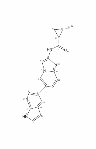 O=C(Nc1cn2cc(-c3cnc4[nH]ccc4c3)ccc2n1)[C@@H]1C[C@@H]1F